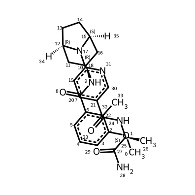 COc1cccc(C(=O)N[C@H]2C[C@H]3CC[C@@H](C2)N3c2ccc(C(=O)N[C@@H](C)C(N)=O)cn2)c1C